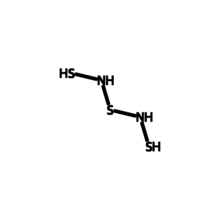 SNSNS